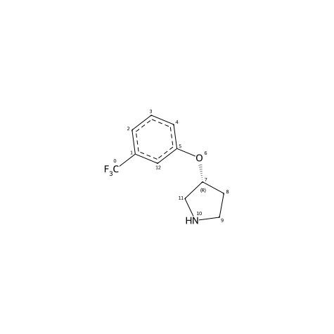 FC(F)(F)c1cccc(O[C@@H]2CCNC2)c1